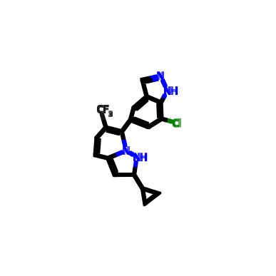 FC(F)(F)C1=C(c2cc(Cl)c3[nH]ncc3c2)N2NC(C3CC3)C=C2C=C1